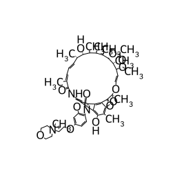 CO[C@H]1/C=C/O[C@@]2(C)Oc3c(C)c(O)c4c(=O)c(c5oc6cc(OCC[N+]7(C)CCOCC7)ccc6nc-5c4c3C2=O)NC(=O)/C(C)=C\C=C\[C@H](C)[C@H](O)[C@@H](C)[C@@H](C)[C@@H](C)[C@H](OC(C)=O)[C@@H]1C